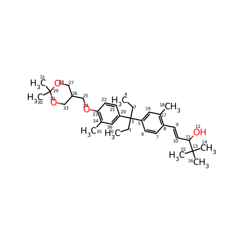 CCC(CC)(c1ccc(C=CC(O)C(C)(C)C)c(C)c1)c1ccc(OCC2COC(C)(C)OC2)c(C)c1